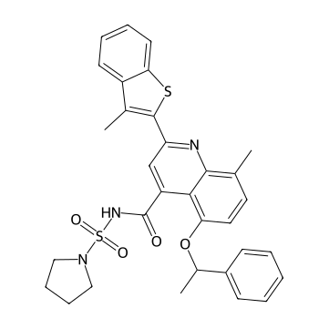 Cc1c(-c2cc(C(=O)NS(=O)(=O)N3CCCC3)c3c(OC(C)c4ccccc4)ccc(C)c3n2)sc2ccccc12